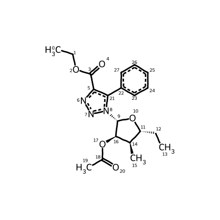 CCOC(=O)c1nnn([C@@H]2O[C@H](CC)[C@@H](C)[C@H]2OC(C)=O)c1-c1ccccc1